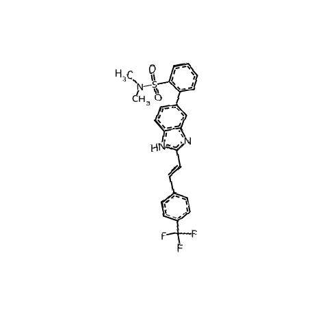 CN(C)S(=O)(=O)c1ccccc1-c1ccc2[nH]c(C=Cc3ccc(C(F)(F)F)cc3)nc2c1